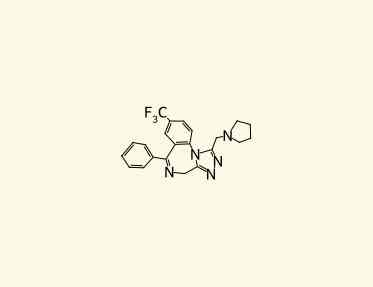 FC(F)(F)c1ccc2c(c1)C(c1ccccc1)=NCc1nnc(CN3CCCC3)n1-2